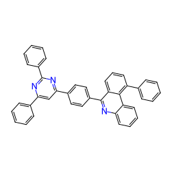 c1ccc(-c2cc(-c3ccc(-c4nc5ccccc5c5c(-c6ccccc6)cccc45)cc3)nc(-c3ccccc3)n2)cc1